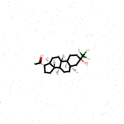 CC(=O)[C@H]1CC[C@H]2[C@@H]3CC[C@@H]4C[C@@](O)(C(F)(F)F)CC[C@]4(C)[C@H]3CC[C@]12C